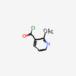 CC(=O)Oc1ncccc1C(=O)Cl